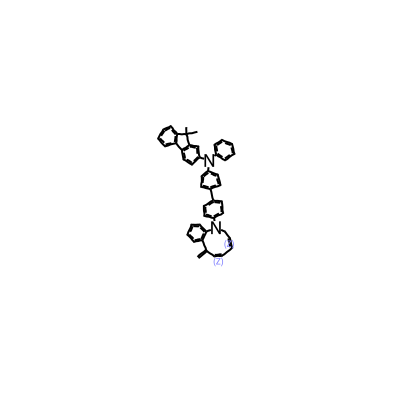 C=C1/C=C\C=C/CN(c2ccc(-c3ccc(N(c4ccccc4)c4ccc5c(c4)C(C)(C)c4ccccc4-5)cc3)cc2)c2ccccc21